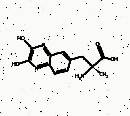 C[C@](N)(Cc1ccc2nc(O)c(O)nc2c1)C(=O)O